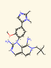 COc1cc(-c2cnc(C)n2C)ccc1N1C(N)=NC=C2C=CN(CC(C)(C)C)C(N)=C21